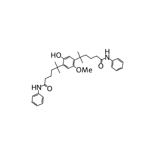 COc1cc(C(C)(C)CCCC(=O)Nc2ccccc2)c(O)cc1C(C)(C)CCCC(=O)Nc1ccccc1